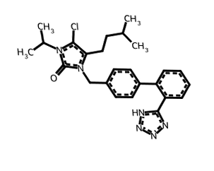 CC(C)CCc1c(Cl)n(C(C)C)c(=O)n1Cc1ccc(-c2ccccc2-c2nnn[nH]2)cc1